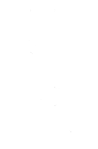 O=C(NCc1cccnc1)Nc1ccc(NS(=O)(=O)c2ccc(Br)c(C(F)(F)F)c2)cc1